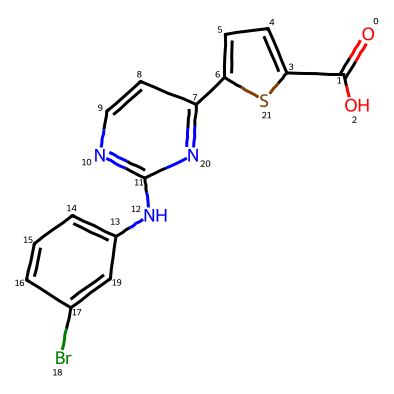 O=C(O)c1ccc(-c2ccnc(Nc3cccc(Br)c3)n2)s1